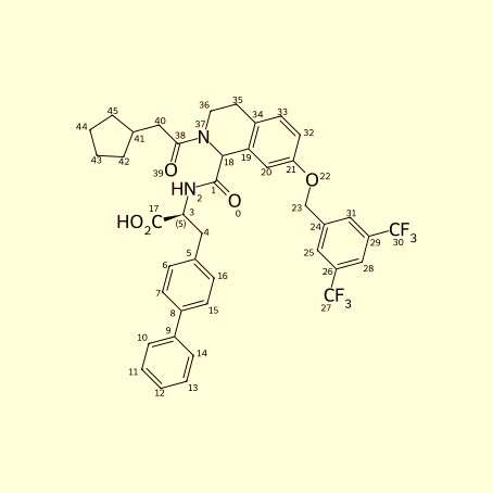 O=C(N[C@@H](Cc1ccc(-c2ccccc2)cc1)C(=O)O)C1c2cc(OCc3cc(C(F)(F)F)cc(C(F)(F)F)c3)ccc2CCN1C(=O)CC1CCCC1